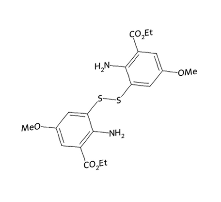 CCOC(=O)c1cc(OC)cc(SSc2cc(OC)cc(C(=O)OCC)c2N)c1N